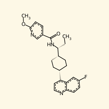 CC[C@@H](NC(=O)c1ccc(OC)nc1)[C@H]1CC[C@@H](c2ccnc3ccc(F)cc32)CC1